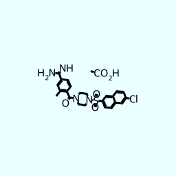 CC(=O)O.Cc1cc(C(=N)N)ccc1C(=O)N1CCN(S(=O)(=O)c2ccc3cc(Cl)ccc3c2)CC1